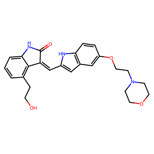 O=C1Nc2cccc(CCO)c2C1=Cc1cc2cc(OCCN3CCOCC3)ccc2[nH]1